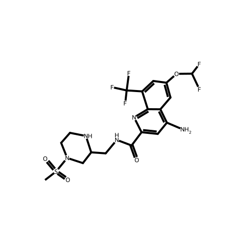 CS(=O)(=O)N1CCNC(CNC(=O)c2cc(N)c3cc(OC(F)F)cc(C(F)(F)F)c3n2)C1